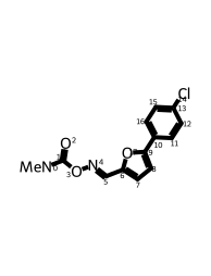 CNC(=O)ON=Cc1ccc(-c2ccc(Cl)cc2)o1